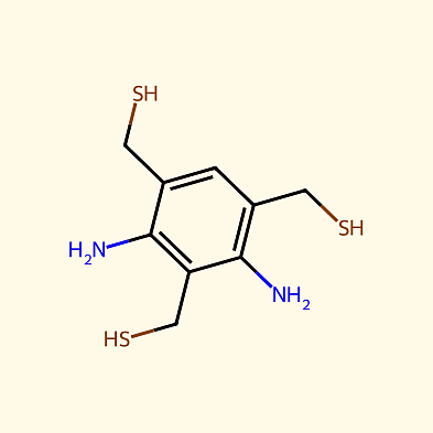 Nc1c(CS)cc(CS)c(N)c1CS